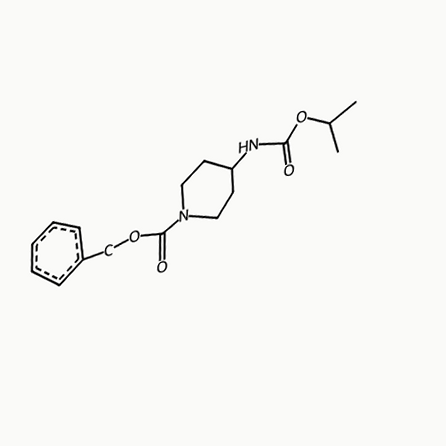 CC(C)OC(=O)NC1CCN(C(=O)OCc2ccccc2)CC1